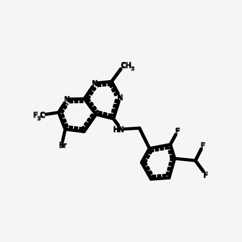 Cc1nc(NCc2cccc(C(F)F)c2F)c2cc(Br)c(C(F)(F)F)nc2n1